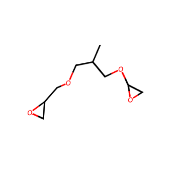 CC(COCC1CO1)COC1CO1